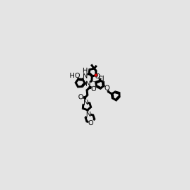 CC1(C)CC(=O)C2=C(C1)NC1=C(O)CCC=C1N(C(=O)CCC(=O)N1CCC(N3CCOCC3)CC1)[C@H]2c1ccc(OCc2ccccc2)cc1Cl